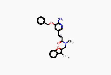 Cc1c(CN(C)C(=O)/C=C/c2cnc(N)c(OCc3ccccc3)c2)oc2ccccc12